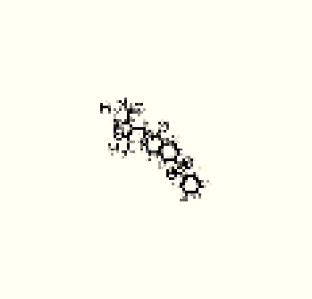 Cc1onc(C(N)=O)c1Cn1ncc2cc(S(=O)(=O)c3ccccc3)ccc2c1=O